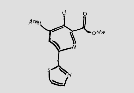 COC(=O)c1nc(-c2nccs2)cc(NC(C)=O)c1Cl